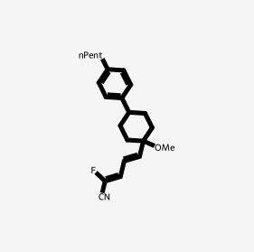 CCCCCc1ccc(C2CCC(C=CC=C(F)C#N)(OC)CC2)cc1